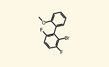 COc1ccccc1-c1c(F)ccc(F)c1Br